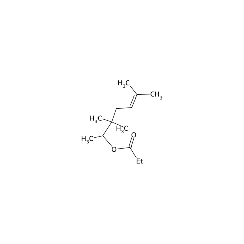 CCC(=O)OC(C)C(C)(C)CC=C(C)C